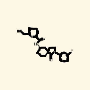 O=C(N[C@H]1CCC[C@]2(CCN(c3cccc(F)c3)C2=O)C1)c1cccc(CO)n1